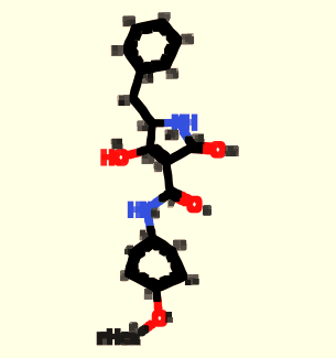 CCCCCCOc1ccc(NC(=O)C2=C(O)C(Cc3ccccc3)NC2=O)cc1